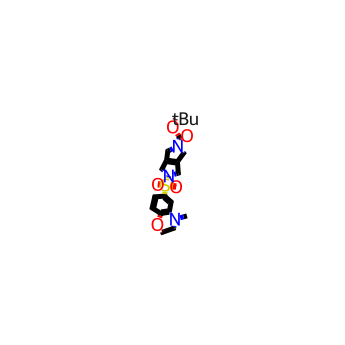 CN1CCOc2ccc(S(=O)(=O)N3CC4=C(CN(C(=O)OC(C)(C)C)C4)C3)cc21